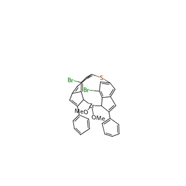 C[O][Zr]1([O]C)[CH]2C(c3ccccc3)=Cc3cc(cc(Br)c32)Sc2cc(Br)c3c(c2)C=C(c2ccccc2)[CH]31